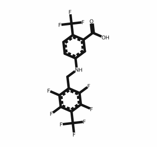 O=C(O)c1cc(NCc2c(F)c(F)c(C(F)(F)F)c(F)c2F)ccc1C(F)(F)F